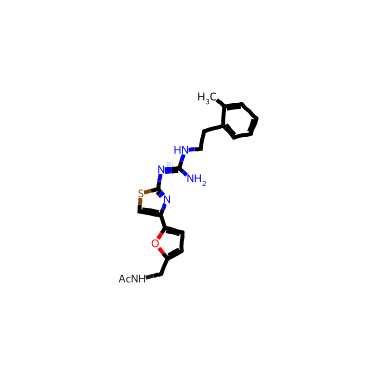 CC(=O)NCc1ccc(-c2csc(/N=C(\N)NCCc3ccccc3C)n2)o1